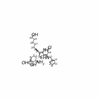 N[C@H]1CC=CC[C@@H]1c1sc2c(NCc3cccs3)cc(Cl)nc2c1C#CCCCCCO.O=CO